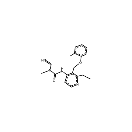 CCc1nccc(NC(=O)N(C)N=N)c1COc1ccccc1C